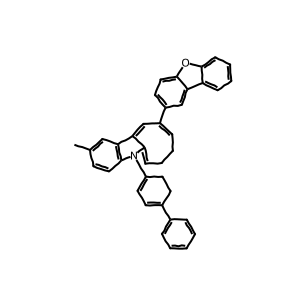 Cc1ccc2c(c1)c1/c(n2C2=CC=C(c3ccccc3)CC2)=C/CC/C=C(c2ccc3oc4ccccc4c3c2)\C=1